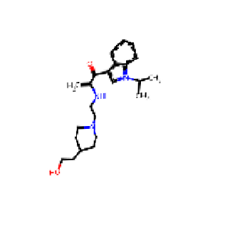 C=C(NCCN1CCC(CCO)CC1)C(=O)c1cn(C(C)C)c2ccccc12